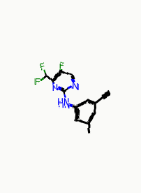 C#Cc1cc(C)cc(Nc2ncc(F)c(C(F)F)n2)c1